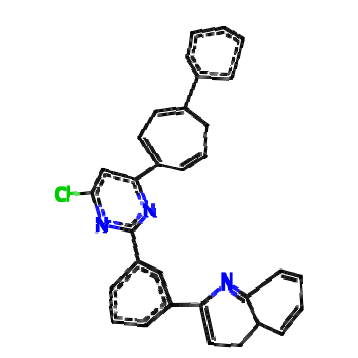 Clc1cc(C2=CC=C(c3ccccc3)CC=C2)nc(-c2cccc(C3=CCC4C=CC=CC4=N3)c2)n1